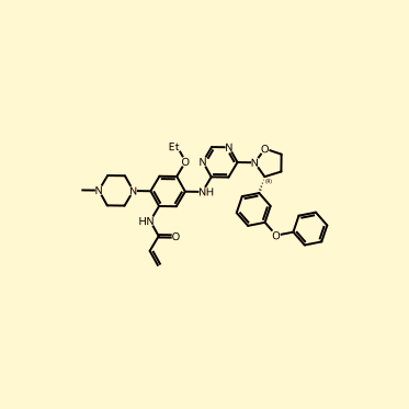 C=CC(=O)Nc1cc(Nc2cc(N3OCC[C@@H]3c3cccc(Oc4ccccc4)c3)ncn2)c(OCC)cc1N1CCN(C)CC1